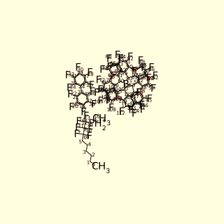 CCCCCCC(F)(F)C(F)(F)C(F)(F)[PH2+]C.Fc1c(F)c(F)c(-c2c(F)c(F)c(F)c(F)c2F)c(F)c1F.Fc1cc2c(c(F)c1F)-c1c(F)c(F)c(F)c(F)c1C2[B-](C1c2cc(F)c(F)c(F)c2-c2c(F)c(F)c(F)c(F)c21)(C1c2cc(F)c(F)c(F)c2-c2c(F)c(F)c(F)c(F)c21)C1c2cc(F)c(F)c(F)c2-c2c(F)c(F)c(F)c(F)c21